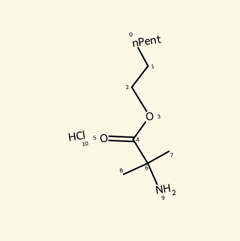 CCCCCCCOC(=O)C(C)(C)N.Cl